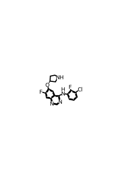 Fc1cc2ncnc(Nc3cccc(Cl)c3F)c2cc1O[C@H]1CCNC1